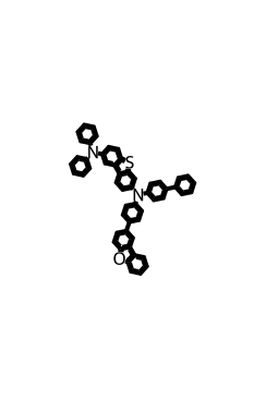 c1ccc(-c2ccc(N(c3ccc(-c4ccc5oc6ccccc6c5c4)cc3)c3ccc4c(c3)sc3ccc(N(c5ccccc5)c5ccccc5)cc34)cc2)cc1